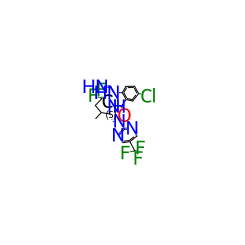 CC1CC(F)(F)CN(C(=O)c2cc(Cl)ccc2NC=N)[C@@H]1CNc1ncc(C(F)(F)F)cn1